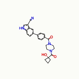 N#Cc1c[nH]c2ccc(-c3ccc(C(=O)N4CCN(C(=O)C5(O)CCC5)CC4)cc3)cc12